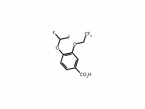 O=C(O)c1ccc(OC(F)F)c(OCC(F)(F)F)c1